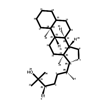 CC[C@H](CC[C@@H](C)[C@H]1CC[C@H]2[C@@H]3CCC4CCCC[C@]4(C)[C@H]3CC[C@]12C)C(C)(C)O